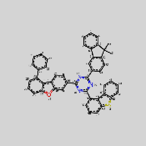 CC1(C)c2ccccc2-c2cc(-c3nc(-c4ccc5c(c4)oc4cccc(-c6ccccc6)c45)nc(-c4cccc5sc6ccccc6c45)n3)ccc21